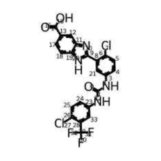 O=C(Nc1ccc(Cl)c(-c2nc3cc(C(=O)O)ccc3[nH]2)c1)Nc1ccc(Cl)c(C(F)(F)F)c1